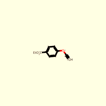 C#COc1ccc(C(=O)OCC)cc1